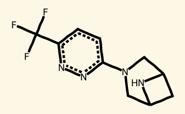 FC(F)(F)c1ccc(N2CC3CC(C2)N3)nn1